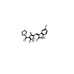 Cc1[nH]c(C=C2C(=O)Nc3ccc(F)cc32)c(C)c1C(=O)N1CCCC1